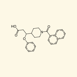 O=C(O)CC(Oc1ccccc1)C1CCN(C(=O)c2cccc3ccccc23)CC1